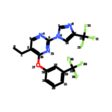 CCc1cnc(-n2cnc(C(F)(F)F)c2)nc1Oc1cccc(C(F)(F)F)c1